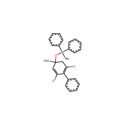 CC(C)(C)[Si](OC1(C=O)C=C(Cl)C(c2ccccc2)=C(Cl)C1)(c1ccccc1)c1ccccc1